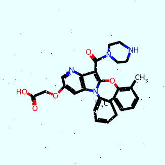 Cc1cccc(C)c1Oc1c(C(=O)N2CCNCC2)c2ncc(OCC(=O)O)cc2n1C1=CC=CCC1